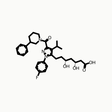 CC(C)c1c(C(=O)N2CCCC(c3ccccc3)C2)nn(-c2ccc(F)cc2)c1CC[C@@H](O)C[C@@H](O)CC(=O)O